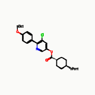 CCCCCCCCOc1ccc(-c2ncc(OC(=O)[C@H]3CC[C@H](CCCCC)CC3)cc2Cl)cc1